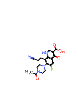 CC(=O)N1CCN(c2c(F)cc3c(=O)c(C(=O)O)c[nH]c3c2CCC#N)CC1